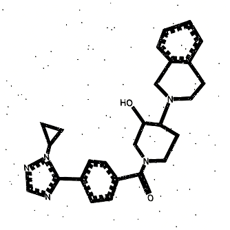 O=C(c1ccc(-c2ncnn2C2CC2)cc1)N1CCC(N2CCc3ccccc3C2)C(O)C1